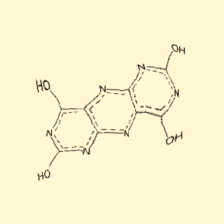 Oc1nc(O)c2nc3nc(O)nc(O)c3nc2n1